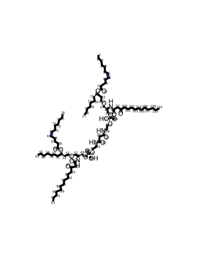 CCCCCC/C=C\CCCC(=O)O[C@H](CCCCCCC)CCOC[C@H](COP(=O)(O)OCCNC(=O)CC(=O)NCCOP(=O)(O)OC[C@H](COCC[C@@H](CCCCCCC)OC(=O)CCC/C=C\CCCCCC)NC(=O)CC(=O)CCCCCCCCCCC)NC(=O)CC(=O)CCCCCCCCCCC